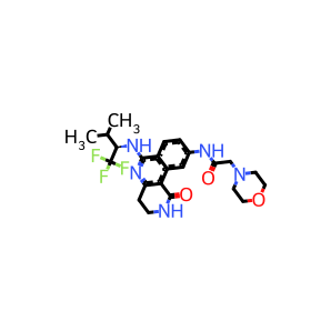 CC(C)[C@@H](Nc1nc2c(c3cc(NC(=O)CN4CCOCC4)ccc13)C(=O)NCC2)C(F)(F)F